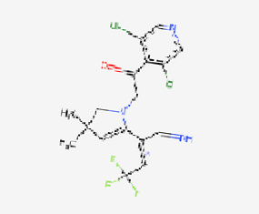 CC1(C)C=C(/C(C=N)=C\C(F)(F)F)N(CC(=O)c2c(Cl)cncc2Cl)C1